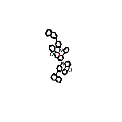 c1cc(-c2ccccc2N(c2ccc(-c3ccc4ccccc4c3)cc2)c2cccc3oc4ccccc4c23)cc(N(c2ccc(-c3cccc4ccccc34)cc2)c2cccc3oc4ccccc4c23)c1